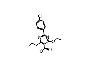 CCCc1nc(-c2ccc(Cl)cc2)nc(OCC)c1C(=O)O